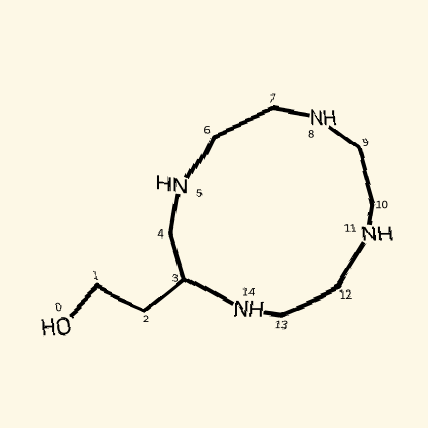 OCCC1CNCCNCCNCCN1